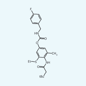 CCSc1cc(OC(=O)NCc2ccc(F)cc2)cc(C)c1NC(=O)CC(C)(C)C